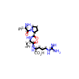 CC(C)C[C@H](NC(=O)[C@@H]1CCCN1C(=O)[C@@H](N)C(C)C)C(=O)N[C@@H](CCCNC(=N)N)C(=O)O